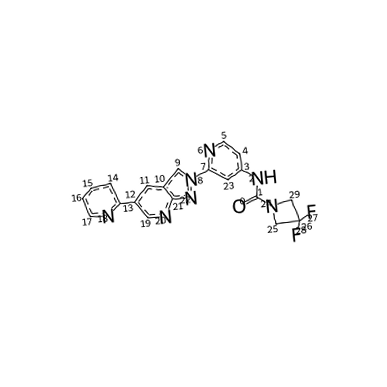 O=C(Nc1ccnc(-n2cc3cc(-c4ccccn4)cnc3n2)c1)N1CC(F)(F)C1